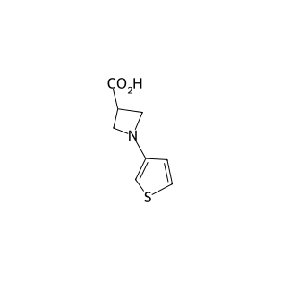 O=C(O)C1CN(c2ccsc2)C1